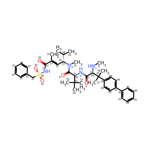 CN[C@H](C(=O)N[C@H](C(=O)N(C)[C@H](C=C(C)C(=O)NS(=O)(=O)Cc1ccccc1)C(C)C)C(C)(C)C)C(C)(C)c1ccc(-c2ccccc2)cc1